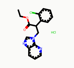 CCOC(=O)C(Cn1cnc2cccnc21)c1ccccc1Cl.Cl